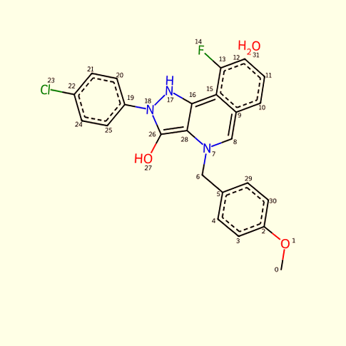 COc1ccc(CN2C=c3cccc(F)c3=C3NN(c4ccc(Cl)cc4)C(O)=C32)cc1.O